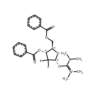 CN(C)C(O[C@H]1O[C@H](COC(=O)c2ccccc2)[C@@H](OC(=O)c2ccccc2)C1(F)F)=[N+](C)C